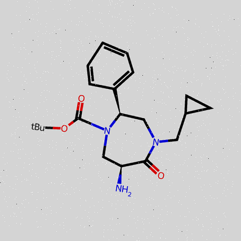 CC(C)(C)OC(=O)N1C[C@H](N)C(=O)N(CC2CC2)C[C@@H]1c1ccccc1